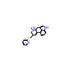 CN1CC(CSc2ccccn2)C=C2c3cccc4[nH]cc(c34)C[C@@H]21